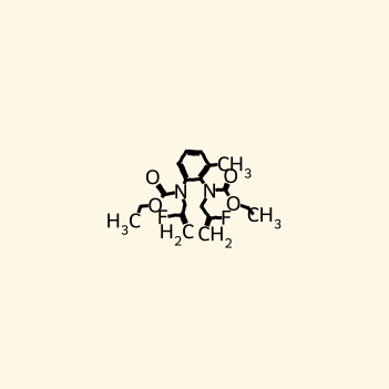 C=C(F)CN(C(=O)OCC)c1cccc(C)c1N(CC(=C)F)C(=O)OCC